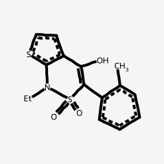 CCN1c2sccc2C(O)=C(c2ccccc2C)S1(=O)=O